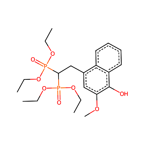 CCOP(=O)(OCC)C(Cc1cc(OC)c(O)c2ccccc12)P(=O)(OCC)OCC